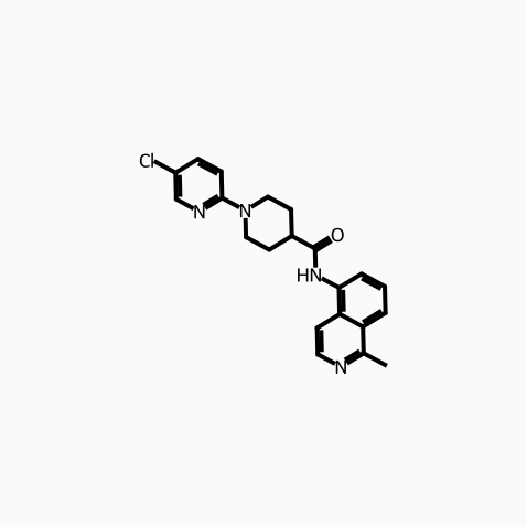 Cc1nccc2c(NC(=O)C3CCN(c4ccc(Cl)cn4)CC3)cccc12